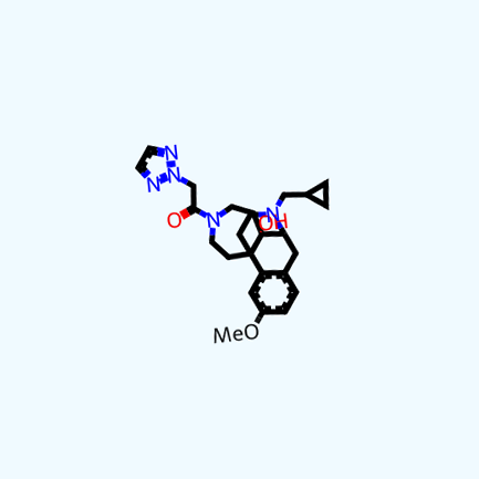 COc1ccc2c(c1)C13CCN(C(=O)Cn4nccn4)CCC1(O)C(C2)N(CC1CC1)CC3